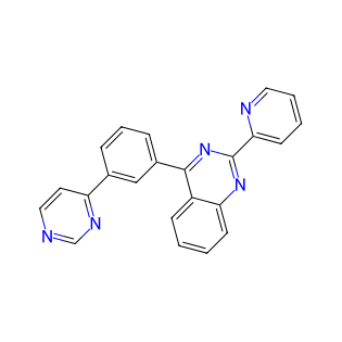 c1ccc(-c2nc(-c3cccc(-c4ccncn4)c3)c3ccccc3n2)nc1